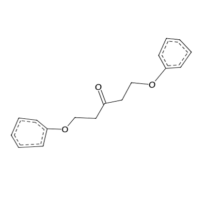 O=C(CCOc1ccccc1)CCOc1ccccc1